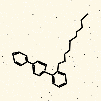 CCCCCCCCCCc1ccccc1-c1ccc(-c2ccccc2)cc1